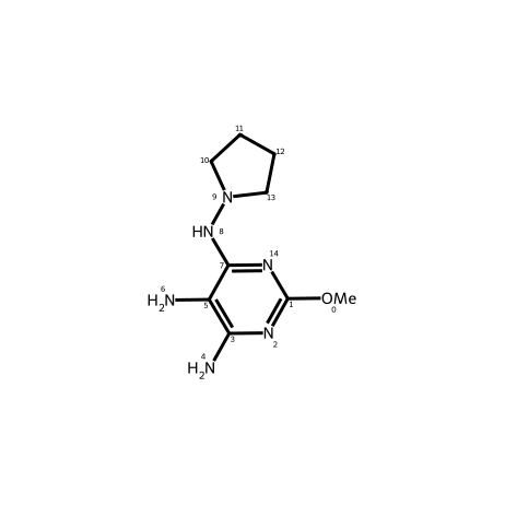 COc1nc(N)c(N)c(NN2CCCC2)n1